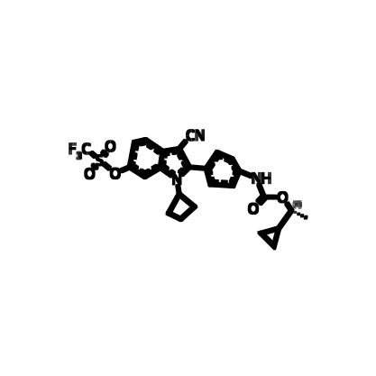 C[C@@H](OC(=O)Nc1ccc(-c2c(C#N)c3ccc(OS(=O)(=O)C(F)(F)F)cc3n2C2CCC2)cc1)C1CC1